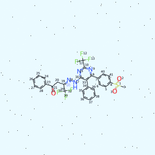 CS(=O)(=O)c1ccc(-c2nc(C(F)(F)F)nc(N/N=C(/CC(=O)c3ccccc3)C(F)(F)F)c2-c2ccccc2)cc1